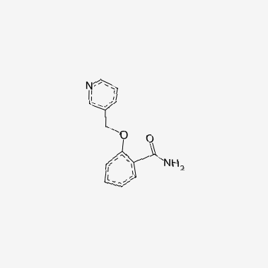 NC(=O)c1ccccc1OCc1cccnc1